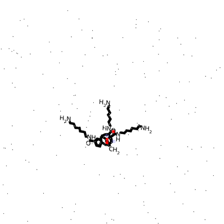 C=C1/C=C\C(C(=O)NCCCCCCCN)=C/C2c3cc(C(=O)NCCCCCCCN)ccc3C1c1ccc(C(=O)NCCCCCCCN)cc12